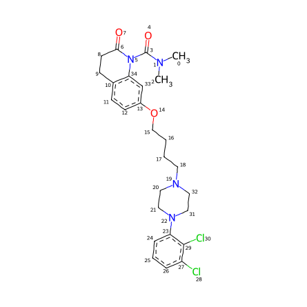 CN(C)C(=O)N1C(=O)CCc2ccc(OCCCCN3CCN(c4cccc(Cl)c4Cl)CC3)cc21